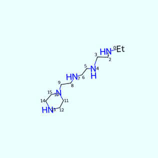 CCNCCNCCNCCN1CCNCC1